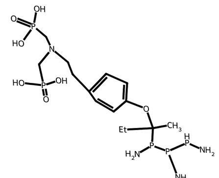 CCC(C)(Oc1ccc(CCN(CP(=O)(O)O)CP(=O)(O)O)cc1)P(N)P(N)PN